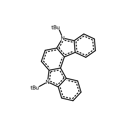 CC(C)(C)n1c2ccccc2c2c3c4ccccc4n(C(C)(C)C)c3ccc21